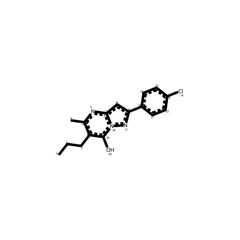 CCCc1c(C)nc2cc(-c3ccc(Cl)cc3)nn2c1O